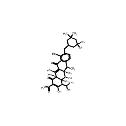 CC(=O)C1=C(O)C(C(C)C)[C@@]2(C)[C@H](O)[C@]3(C)C(=C(O)[C@@]2(O)C1=O)C(=O)c1c(ccc(CC2CC(C)(C)CC(C)(C)C2)c1O)[C@H]3C